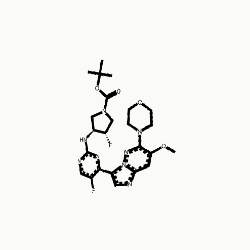 COc1cc2ncc(-c3nc(N[C@H]4CN(C(=O)OC(C)(C)C)C[C@@H]4F)ncc3F)n2nc1N1CCOCC1